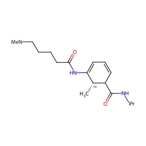 CNCCCCC(=O)NC1=CC=CC(C(=O)NC(C)C)[C@@H]1C